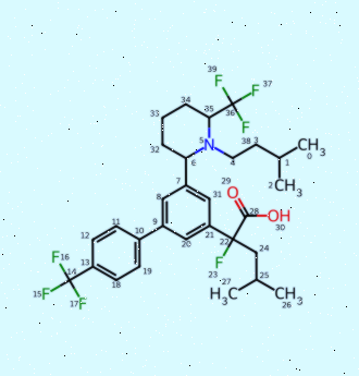 CC(C)CCN1C(c2cc(-c3ccc(C(F)(F)F)cc3)cc(C(F)(CC(C)C)C(=O)O)c2)CCCC1C(F)(F)F